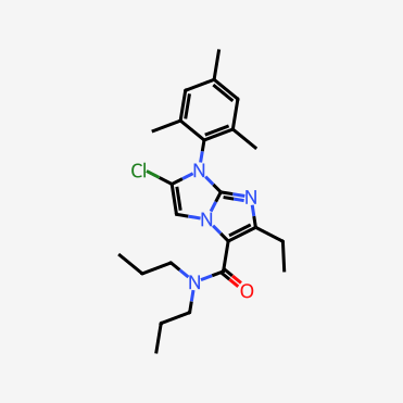 CCCN(CCC)C(=O)c1c(CC)nc2n(-c3c(C)cc(C)cc3C)c(Cl)cn12